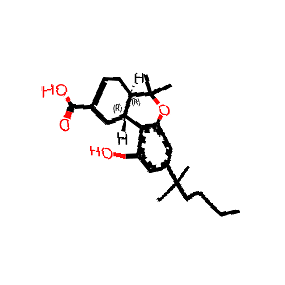 CCCCC(C)(C)c1cc(O)c2c(c1)OC(C)(C)[C@@H]1CC=C(C(=O)O)C[C@@H]21